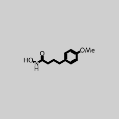 COc1ccc(CCCC(=O)NO)cc1